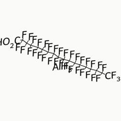 O=C(O)C(F)(F)C(F)(F)C(F)(F)C(F)(F)C(F)(F)C(F)(F)C(F)(F)C(F)(F)C(F)(F)C(F)(F)C(F)(F)C(F)(F)C(F)(F)C(F)(F)C(F)(F)C(F)(F)C(F)(F)F.[AlH3]